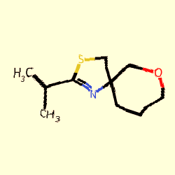 CC(C)C1=NC2(CCCOC2)CS1